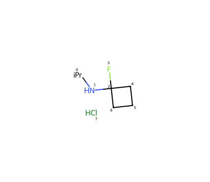 CC(C)NC1(F)CCC1.Cl